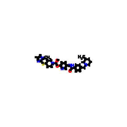 CC1CCCN(Cc2ccc(C(=O)Nc3ccc(OC(=O)N4CCC(Sc5nccn5C)CC4)nc3)cc2)C1